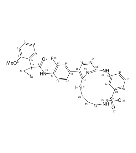 COc1ccccc1C1(C(=O)Nc2ccc(-c3cnc4nc3NCCCNS(=O)(=O)c3cccc(c3)N4)cc2F)CC1